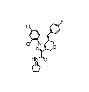 O=C(NN1CCCC1)c1nn(-c2ccc(Cl)cc2Cl)c2c1COC/C2=C\c1ccc(F)cc1